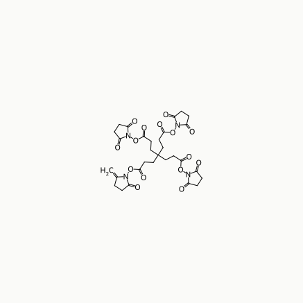 C=C1CCC(=O)N1OC(=O)CCC(CCC(=O)ON1C(=O)CCC1=O)(CCC(=O)ON1C(=O)CCC1=O)CCC(=O)ON1C(=O)CCC1=O